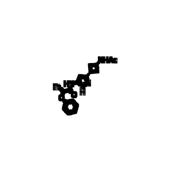 CCC(Oc1ccccc1)C(=O)Nc1cc([C@H]2C[C@@H](NC(C)=O)C2)n[nH]1